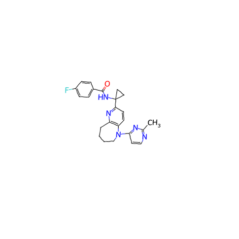 Cc1nccc(N2CCCCc3nc(C4(NC(=O)c5ccc(F)cc5)CC4)ccc32)n1